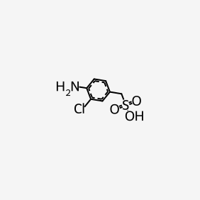 Nc1ccc(CS(=O)(=O)O)cc1Cl